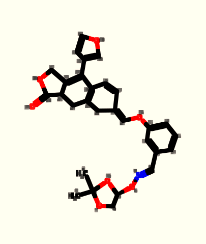 CC1(C)OC[C@H](ON=Cc2cccc(O/C=C3\C=CC4=C(C3)CC3C(=O)OCC3=C4c3ccoc3)c2)O1